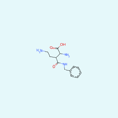 NCCC(C(=O)NCc1ccccc1)C(N)C(=O)O